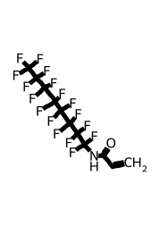 C=CC(=O)NC(F)(F)C(F)(F)C(F)(F)C(F)(F)C(F)(F)C(F)(F)C(F)(F)C(F)(F)F